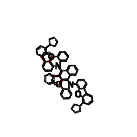 c1ccc(-c2ccccc2N(c2cccc3c2oc2c(C4CCCC4)cccc23)c2c3ccccc3c(N(c3ccccc3-c3ccccc3)c3cccc4c3oc3c(C5CCCC5)cccc34)c3c2oc2ccccc23)cc1